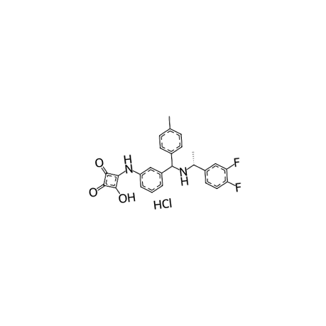 Cc1ccc(C(N[C@H](C)c2ccc(F)c(F)c2)c2cccc(Nc3c(O)c(=O)c3=O)c2)cc1.Cl